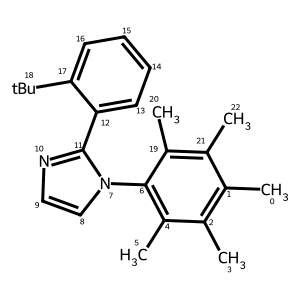 Cc1c(C)c(C)c(-n2ccnc2-c2ccccc2C(C)(C)C)c(C)c1C